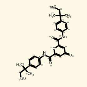 CC(C)(C)CC(C)(C)c1ccc(NC(=O)c2cc(=O)cc(C(=O)Nc3ccc(C(C)(C)CC(C)(C)C)cc3)o2)cc1